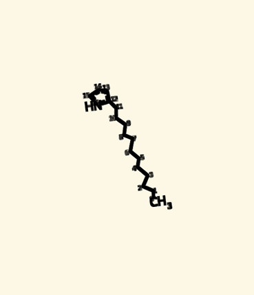 CCCCCCCCCCCCc1ccc[nH]1